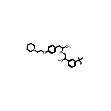 CC(Cc1ccc(OCCN2CCCCC2)cc1)NCC(O)c1cccc(C(F)(F)F)c1